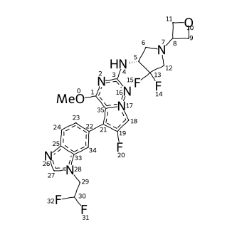 COc1nc(N[C@@H]2CN(C3COC3)CC2(F)F)nn2cc(F)c(-c3ccc4ncn(CC(F)F)c4c3)c12